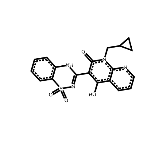 O=c1c(C2=NS(=O)(=O)c3ccccc3N2)c(O)c2cccnc2n1CC1CC1